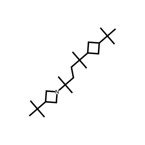 CC(C)(C)C1CC(C(C)(C)CCC(C)(C)N2CC(C(C)(C)C)C2)C1